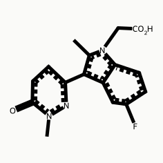 Cc1c(-c2ccc(=O)n(C)n2)c2cc(F)ccc2n1CC(=O)O